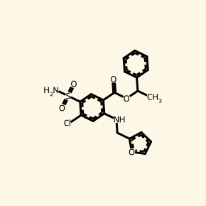 CC(OC(=O)c1cc(S(N)(=O)=O)c(Cl)cc1NCc1ccco1)c1ccccc1